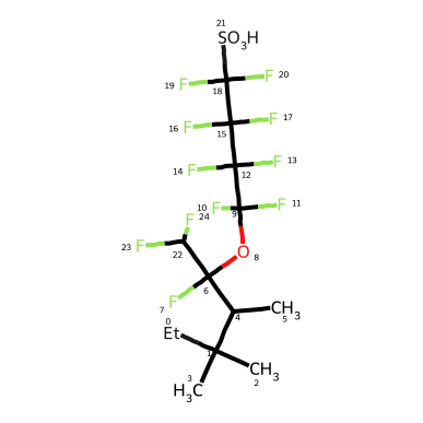 CCC(C)(C)C(C)C(F)(OC(F)(F)C(F)(F)C(F)(F)C(F)(F)S(=O)(=O)O)C(F)F